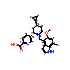 COc1cc(C)c2[nH]ccc2c1CN1CCC(C2CC2)C[C@H]1c1ccc(C(=O)O)nc1